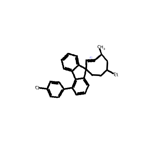 CCC1CCC2(/C=C/C(C)C1)c1ccccc1-c1c(-c3ccc(Cl)cc3)cccc12